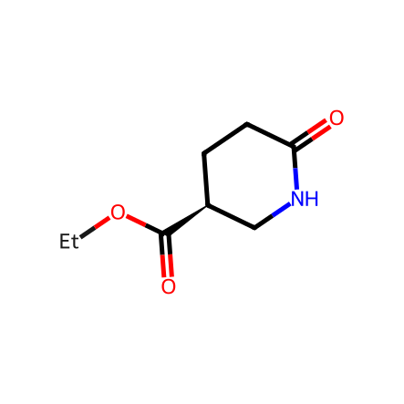 CCOC(=O)[C@H]1CCC(=O)NC1